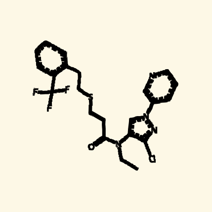 CCN(C(=O)CCSCCc1ccccc1C(F)(F)F)c1cn(-c2cccnc2)nc1Cl